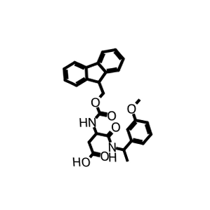 COc1cccc(C(C)NC(=O)C(CC(=O)O)NC(=O)OCC2c3ccccc3-c3ccccc32)c1